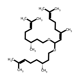 CC(C)=CCC/C(C)=C\C(OCC[C@H](C)CCC=C(C)C)OCC[C@H](C)CCC=C(C)C